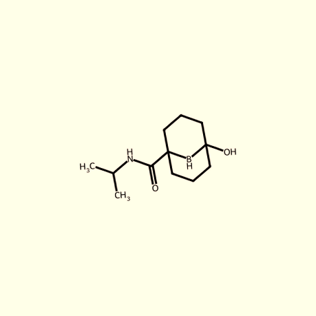 CC(C)NC(=O)C12BC(O)(CCC1)CCC2